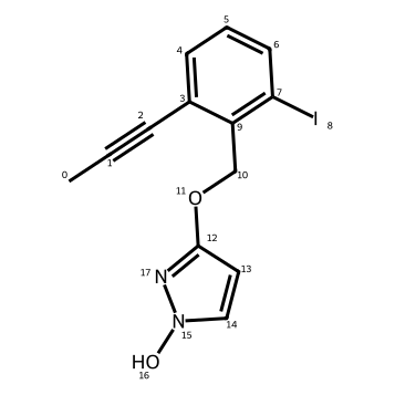 CC#Cc1cccc(I)c1COc1ccn(O)n1